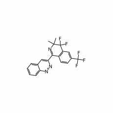 CC1(C)N=C(c2cc3ccccc3nn2)c2ccc(C(F)(F)F)cc2C1(F)F